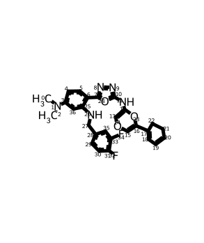 CN(C)c1ccc(-c2nnc(NC3=COC=C(C4=CC=CCC4)O3)o2)c(NCc2ccc(F)c(F)c2)c1